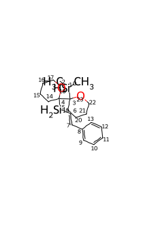 C[SiH](C)C1(C2([SiH2]C=Cc3ccccc3)CCCCO2)CCCCO1